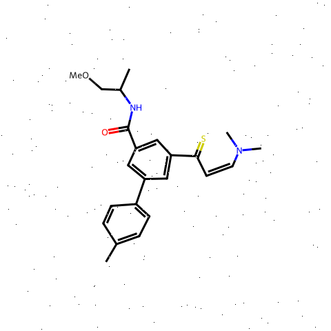 COCC(C)NC(=O)c1cc(C(=S)/C=C\N(C)C)cc(-c2ccc(C)cc2)c1